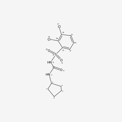 O=C(NC1CCCC1)NS(=O)(=O)c1cccc(Cl)c1Cl